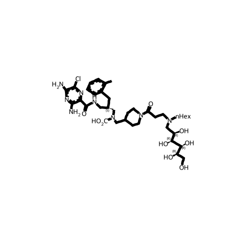 CCCCCCN(CCC(=O)N1CCC(CN(C[C@H](CNC(=O)c2nc(Cl)c(N)nc2N)Cc2ccccc2C)C(=O)O)CC1)C[C@@H](O)[C@@H](O)[C@H](O)[C@H](O)CO